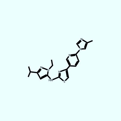 CCn1nc(C(C)C)cc1Nc1nc(-c2ccc(-n3cnc(C)c3)nc2)cs1